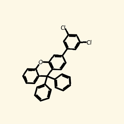 Clc1cc(Cl)cc(-c2ccc3c(c2)Oc2ccccc2C3(c2ccccc2)c2ccccc2)c1